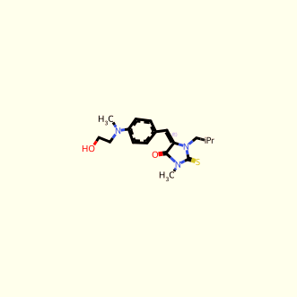 CC(C)CN1C(=S)N(C)C(=O)/C1=C\c1ccc(N(C)CCO)cc1